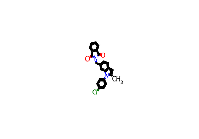 Cc1cc2ccc(CN3C(=O)c4ccccc4C3=O)cc2n1-c1ccc(Cl)cc1